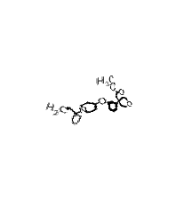 C=CC(=O)N1CCC(Oc2cccc(C3(CC(=O)OCC)CCOCC3)c2)CC1